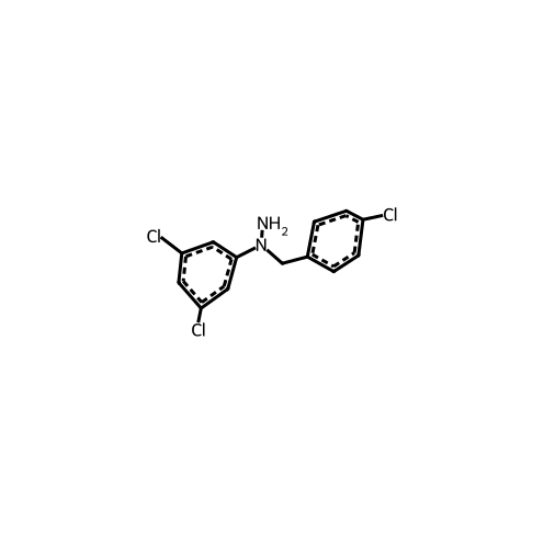 NN(Cc1ccc(Cl)cc1)c1cc(Cl)cc(Cl)c1